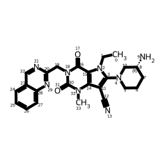 CCn1c(N2CCC[C@@H](N)C2)c(C#N)c2c1c(=O)n(Cc1ncc3ccccc3n1)c(=O)n2C